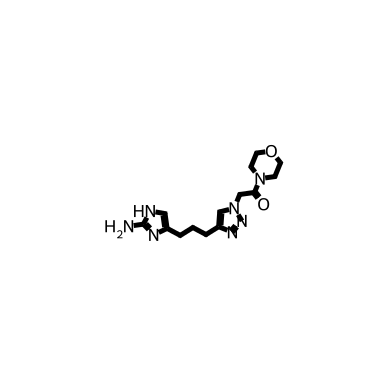 Nc1nc(CCCc2cn(CC(=O)N3CCOCC3)nn2)c[nH]1